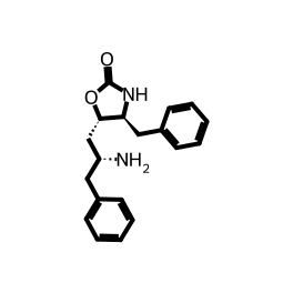 N[C@H](Cc1ccccc1)C[C@@H]1OC(=O)N[C@H]1Cc1ccccc1